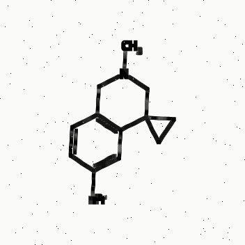 CCCc1ccc2c(c1)C1(CC1)CN(C)C2